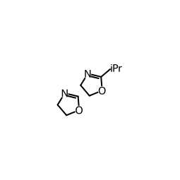 C1=NCCO1.CC(C)C1=NCCO1